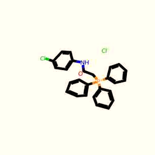 O=C(C[P+](c1ccccc1)(c1ccccc1)c1ccccc1)Nc1ccc(Cl)cc1.[Cl-]